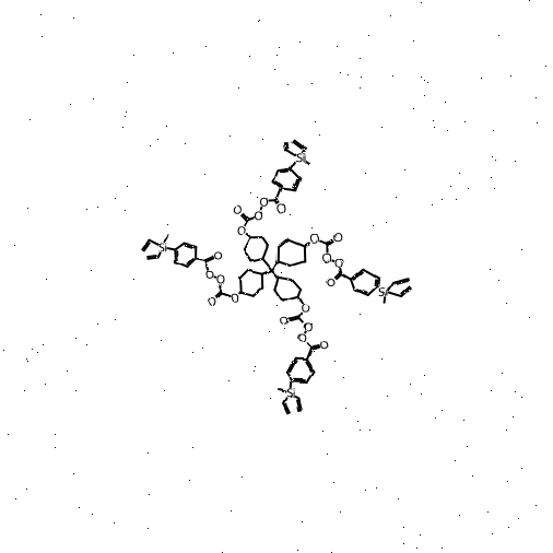 C=C[Si](C)(C=C)c1ccc(C(=O)OOC(=O)OC2CCC(C(C3CCC(OC(=O)OOC(=O)c4ccc([Si](C)(C=C)C=C)cc4)CC3)(C3CCC(OC(=O)OOC(=O)c4ccc([Si](C)(C=C)C=C)cc4)CC3)C3CCC(OC(=O)OOC(=O)c4ccc([Si](C)(C=C)C=C)cc4)CC3)CC2)cc1